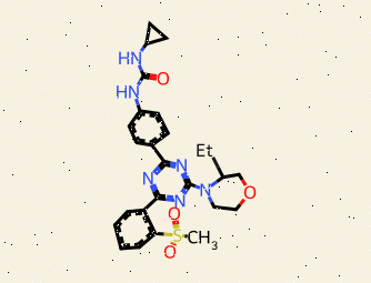 CCC1COCCN1c1nc(-c2ccc(NC(=O)NC3CC3)cc2)nc(-c2ccccc2S(C)(=O)=O)n1